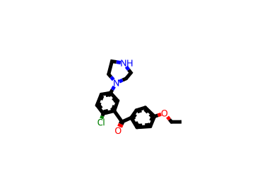 CCOc1ccc(C(=O)c2cc(N3CCNCC3)ccc2Cl)cc1